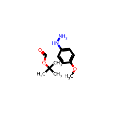 CC(C)(C)OC=O.COc1ccc(NN)cc1